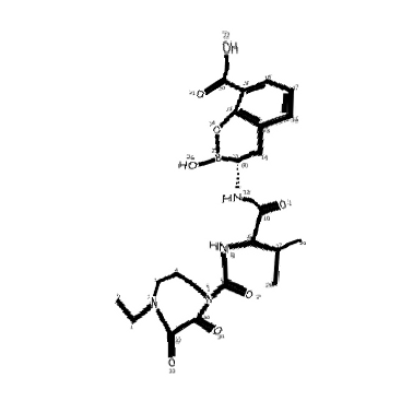 CCN1CCN(C(=O)NC(C(=O)N[C@H]2Cc3cccc(C(=O)O)c3OB2O)C(C)C)C(=O)C1=O